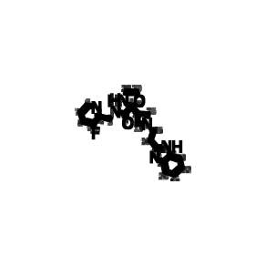 O=C(NCc1ncccc1F)C1(C2CN(CCc3nc4ccccc4[nH]3)C2)NC=CO1